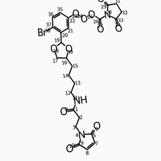 O=C(CCN1C(=O)C=CC1=O)NCCCCC1COC(c2cc(OOOC(=O)N3C(=O)CCC3=O)ccc2Br)O1